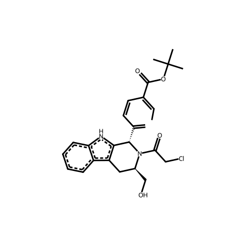 C=C(/C=C\C(=C/C)C(=O)OC(C)(C)C)[C@H]1c2[nH]c3ccccc3c2C[C@H](CO)N1C(=O)CCl